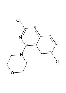 Clc1cc2c(N3CCOCC3)nc(Cl)nc2cn1